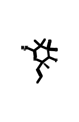 C/C=C/[C@@]1(C)N=C(N)C(C)(C)S(=O)(=O)C1F